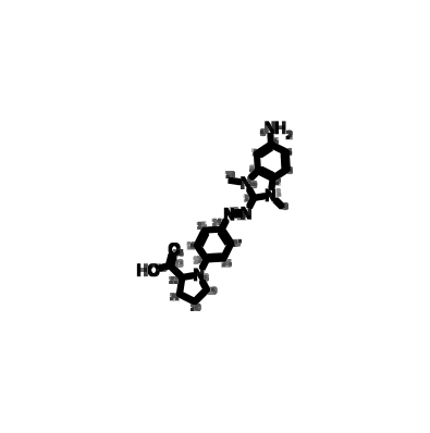 CN1c2ccc(N)cc2N(C)C1N=Nc1ccc(N2CCCC2C(=O)O)cc1